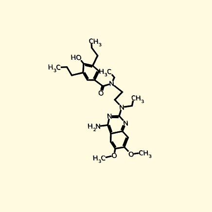 CCCc1cc(C(=O)N(CC)CCN(CC)c2nc(N)c3cc(OC)c(OC)cc3n2)cc(CCC)c1O